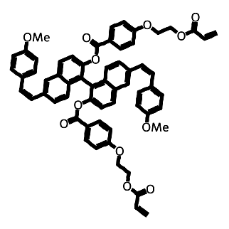 C=CC(=O)OCCOc1ccc(C(=O)Oc2ccc3cc(/C=C\c4ccc(OC)cc4)ccc3c2-c2c(OC(=O)c3ccc(OCCOC(=O)C=C)cc3)ccc3cc(/C=C\c4ccc(OC)cc4)ccc23)cc1